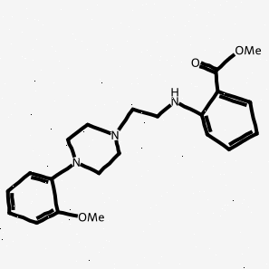 COC(=O)c1ccccc1NCCN1CCN(c2ccccc2OC)CC1